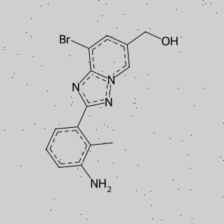 Cc1c(N)cccc1-c1nc2c(Br)cc(CO)cn2n1